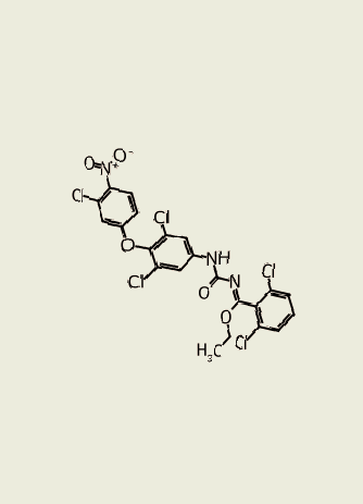 CCOC(=NC(=O)Nc1cc(Cl)c(Oc2ccc([N+](=O)[O-])c(Cl)c2)c(Cl)c1)c1c(Cl)cccc1Cl